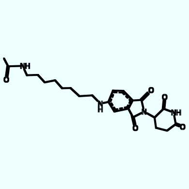 CC(=O)NCCCCCCCCNc1ccc2c(c1)C(=O)N(C1CCC(=O)NC1=O)C2=O